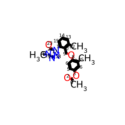 CC(=O)Oc1ccc(OCc2c(C)cccc2-n2nnn(C)c2=O)c(C)c1